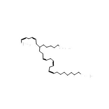 CCCCC/C=C\C/C=C\CC(CC/C=C\C/C=C\C/C=C\CCCCCCCC(=O)O)CCCCCC(=O)O